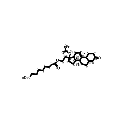 CCCCCCCCCCCCCCCCCC(=O)OCC(=O)[C@@]1(OC(=O)CCC)CC[C@H]2[C@@H]3CCC4=CC(=O)CC[C@]4(C)C3=CC[C@@]21C